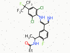 CCC(=O)NC(C)c1cc(/C(C=N)=C/Nc2c(Cl)cc(C(F)(C(F)(F)F)C(F)(F)F)cc2Cl)ccc1F